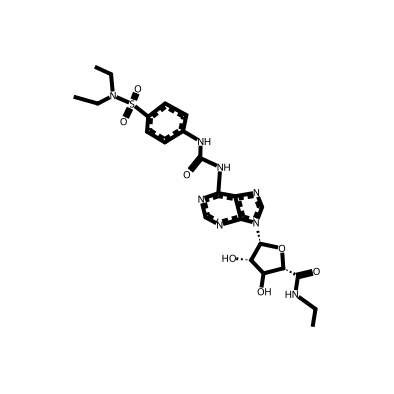 CCNC(=O)[C@H]1O[C@@H](n2cnc3c(NC(=O)Nc4ccc(S(=O)(=O)N(CC)CC)cc4)ncnc32)[C@@H](O)C1O